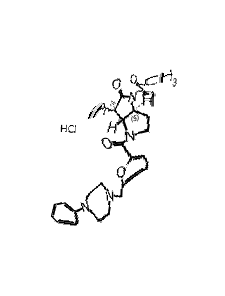 CC(C)[C@H]1C(=O)N(S(C)(=O)=O)[C@H]2CCN(C(=O)c3ccc(CN4CCN(c5ccccc5)CC4)o3)[C@H]12.Cl